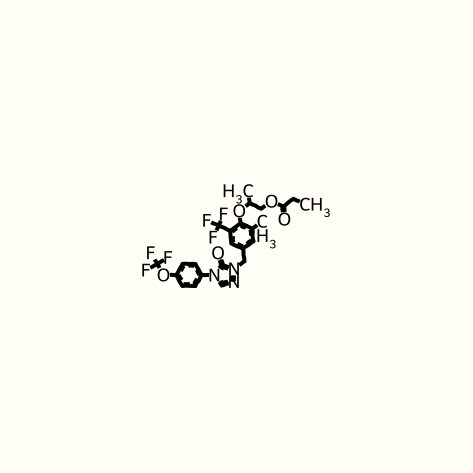 CCC(=O)OCC(C)Oc1c(C)cc(Cn2ncn(-c3ccc(OC(F)(F)F)cc3)c2=O)cc1C(F)(F)F